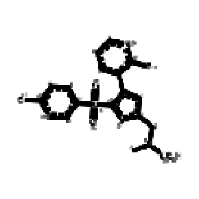 CN(Cc1cc(-c2cccnc2F)c(S(=O)(=O)c2ccc(Cl)nc2)s1)C(=O)O